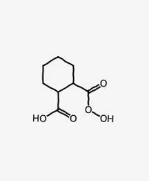 O=C(O)C1CCCCC1C(=O)OO